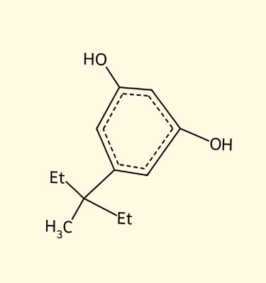 CCC(C)(CC)c1cc(O)cc(O)c1